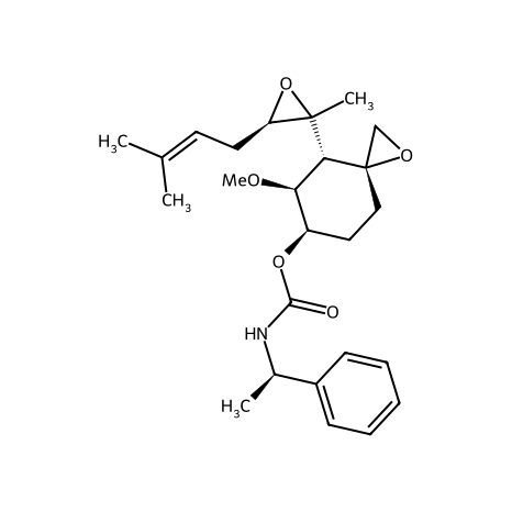 CO[C@H]1[C@H](C2(C)O[C@@H]2CC=C(C)C)[C@]2(CC[C@H]1OC(=O)N[C@H](C)c1ccccc1)CO2